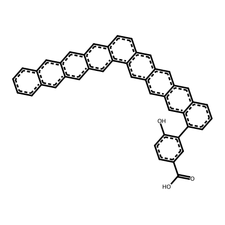 O=C(O)c1ccc(O)c(-c2cccc3cc4cc5cc6ccc7cc8cc9cc%10ccccc%10cc9cc8cc7c6cc5cc4cc23)c1